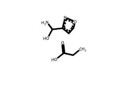 CCC(=O)O.NC(O)c1ccon1